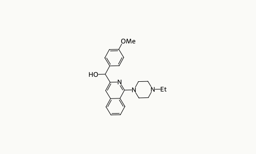 CCN1CCN(c2nc(C(O)c3ccc(OC)cc3)cc3ccccc23)CC1